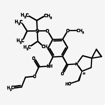 C=CCOC(=O)Nc1cc(O[Si](C(C)C)(C(C)C)C(C)C)c(OC)cc1C(=O)N1CC2(CC2)C[C@H]1CO